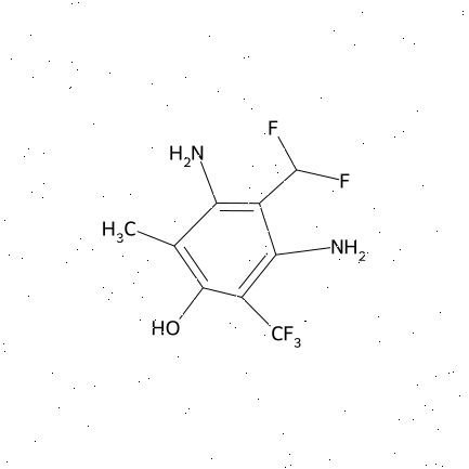 Cc1c(N)c(C(F)F)c(N)c(C(F)(F)F)c1O